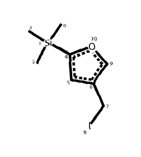 C[Si](C)(C)c1cc(CI)co1